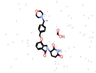 C[C@H](c1ccc(COc2cccc3c2CN(C2CCC(=O)NC2=O)C3=O)cc1)N1CCOCC1.O=CO